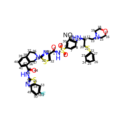 O=C(NS(=O)(=O)c1ccc(N[C@H](CCN2CCOCC2)CSc2ccccc2)c([N+](=O)[O-])c1)c1csc(N2CCc3cccc(C(=O)Nc4nc5ccc(F)cc5s4)c3C2)n1